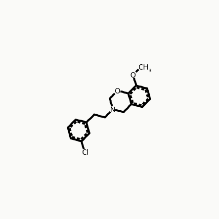 COc1cccc2c1OCN(CCc1cccc(Cl)c1)C2